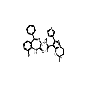 C[C@@H]1CCn2nc(-c3ccsc3)c(C(=O)N[C@H]3N=C(c4ccccc4)c4cccc(F)c4NC3=O)c2O1